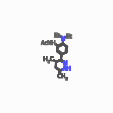 C=C1C[C@@H](C)C(c2ccc(N(CC)CC)c(NC(C)=O)c2)=NN1